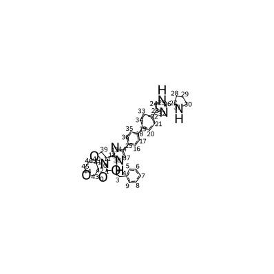 O=C(OCc1ccccc1)N1[C@H](c2nc(-c3ccc(-c4ccc(-c5c[nH]c([C@@H]6CCCN6)n5)cc4)cc3)c[nH]2)COC12CCOCC2